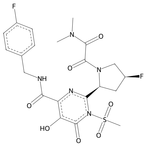 CN(C)C(=O)C(=O)N1C[C@@H](F)C[C@H]1c1nc(C(=O)NCc2ccc(F)cc2)c(O)c(=O)n1S(C)(=O)=O